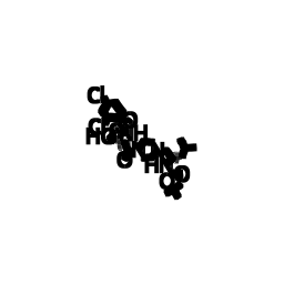 CC(C)C[C@@H](CN1CCN(C(=O)[C@H](CO)NS(=O)(=O)c2ccc(Cl)cc2Cl)CC1)NC(=O)OC(C)(C)C